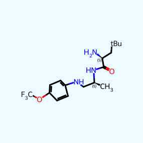 C[C@@H](CNc1ccc(OC(F)(F)F)cc1)NC(=O)[C@@H](N)CC(C)(C)C